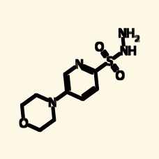 NNS(=O)(=O)c1ccc(N2CCOCC2)cn1